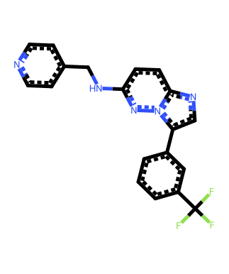 FC(F)(F)c1cccc(-c2cnc3ccc(NCc4ccncc4)nn23)c1